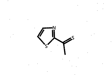 CC(=S)c1nccs1